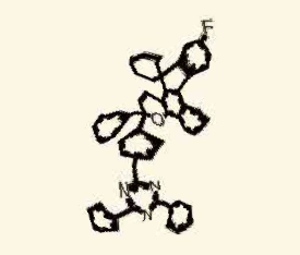 Fc1ccc2c(c1)C1(CCCCC1)c1c3c(c4ccccc4c1-2)OC(c1ccccc1)(c1ccc(-c2nc(-c4ccccc4)nc(-c4ccccc4)n2)cc1)C=C3